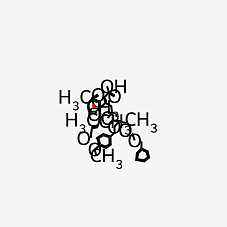 COc1ccc(CO[C@H](C[C@@H]2C/C(=C\C(=O)O)[C@H](OC(C)=O)[C@](OC)(C(C)(C)/C=C/C=O)O2)[C@@H](C)OCOCc2ccccc2)cc1